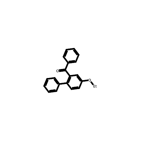 CCOc1ccc(-c2ccccc2)c(C(=O)c2ccccc2)c1